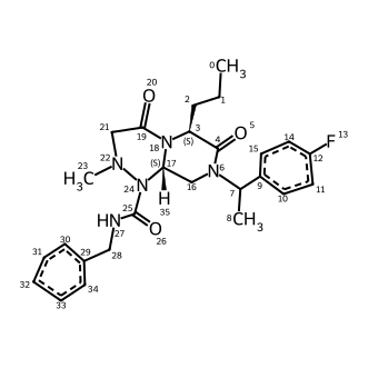 CCC[C@H]1C(=O)N(C(C)c2ccc(F)cc2)C[C@H]2N1C(=O)CN(C)N2C(=O)NCc1ccccc1